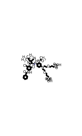 CC(=O)Nc1cc(N(CCOCCCS(=O)(=O)O)CCOCCCS(=O)(=O)O)ccc1/N=N/c1c(C#N)c(C(C)(C)C)nn1-c1c(Cl)cc(NC(=O)c2ccccc2)cc1Cl